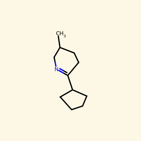 CC1CCC(C2CCCC2)=NC1